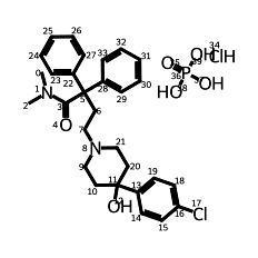 CN(C)C(=O)C(CCN1CCC(O)(c2ccc(Cl)cc2)CC1)(c1ccccc1)c1ccccc1.Cl.O=P(O)(O)O